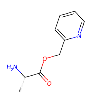 C[C@H](N)C(=O)OCc1ccccn1